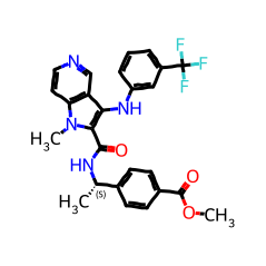 COC(=O)c1ccc([C@H](C)NC(=O)c2c(Nc3cccc(C(F)(F)F)c3)c3cnccc3n2C)cc1